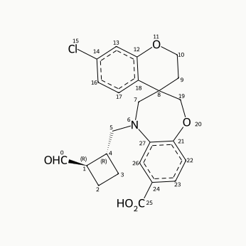 O=C[C@@H]1CC[C@H]1CN1CC2(CCOc3cc(Cl)ccc32)COc2ccc(C(=O)O)cc21